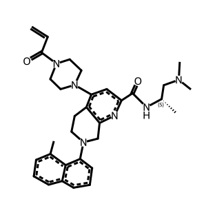 C=CC(=O)N1CCN(c2cc(C(=O)N[C@@H](C)CN(C)C)nc3c2CCN(c2cccc4cccc(C)c24)C3)CC1